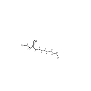 [CH2]CSC(=O)CCCCCCCCC